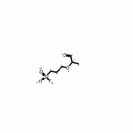 CC(C=O)OCCCS(=O)(=O)F